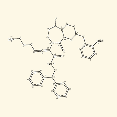 COc1ccccc1CN1CCN2C(C)CCN(C(=C=CCCCN)C(=O)NCC(c3ccccc3)c3ccccc3)C(=O)C2C1